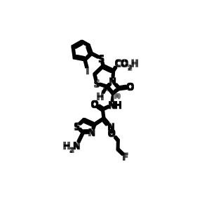 Nc1nc(C(=NOCCF)C(=O)N[C@@H]2C(=O)N3C(C(=O)O)=C(Sc4ccccc4I)CS[C@@H]23)cs1